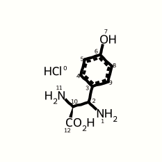 Cl.NC(c1ccc(O)cc1)[C@H](N)C(=O)O